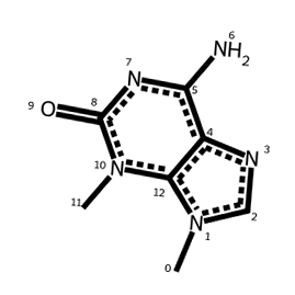 Cn1cnc2c(N)nc(=O)n(C)c21